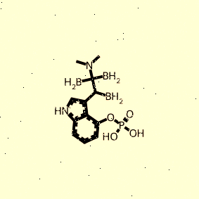 BC(c1c[nH]c2cccc(OP(=O)(O)O)c12)C(B)(B)N(C)C